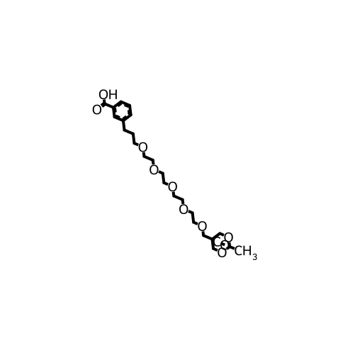 CC12OCC(COCCOCCOCCOCCOCCCc3cccc(C(=O)O)c3)(CO1)CO2